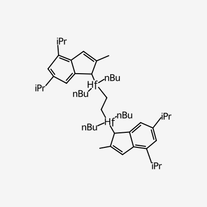 CCC[CH2][Hf]([CH2]CCC)([CH2][CH2][Hf]([CH2]CCC)([CH2]CCC)[CH]1C(C)=Cc2c(C(C)C)cc(C(C)C)cc21)[CH]1C(C)=Cc2c(C(C)C)cc(C(C)C)cc21